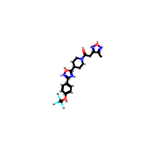 Cc1nonc1CC(=O)N1CCC(c2nc(-c3ccc(OC(F)(F)F)cc3)no2)CC1